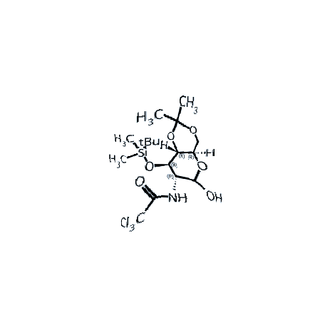 CC1(C)OC[C@H]2OC(O)[C@H](NC(=O)C(Cl)(Cl)Cl)[C@@H](O[Si](C)(C)C(C)(C)C)[C@@H]2O1